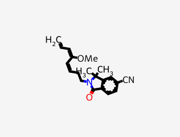 C=C/C=C(\C=C/CCN1C(=O)c2ccc(C#N)cc2C1(C)C)OC